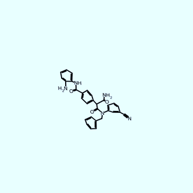 N#Cc1cccc(N(Cc2ccccc2)C(=O)C(C(N)=O)c2ccc(C(=O)Nc3ccccc3N)cc2)c1